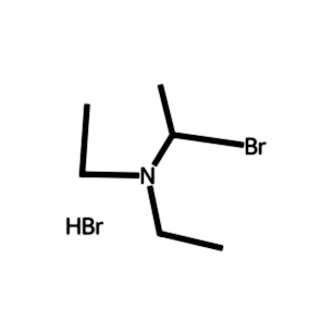 Br.CCN(CC)C(C)Br